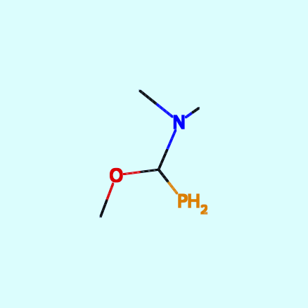 COC(P)N(C)C